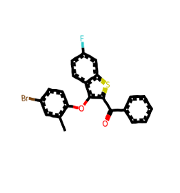 Cc1cc(Br)ccc1Oc1c(C(=O)c2ccccc2)sc2cc(F)ccc12